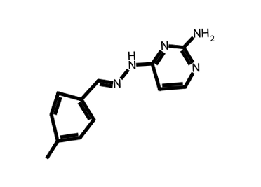 Cc1ccc(C=NNc2ccnc(N)n2)cc1